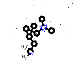 Cc1cc(C)c(-c2cccc(-c3ccc4c(c3)C(c3ccccc3)(c3cccc(-c5nc(-c6ccccc6)nc(-c6ccccc6)n5)c3)c3ccccc3-4)c2)cn1